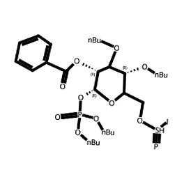 CCCCOC1[C@H](OCCCC)C(CO[SH](#P)I)O[C@H](OP(=O)(OCCCC)OCCCC)[C@@H]1OC(=O)c1ccccc1